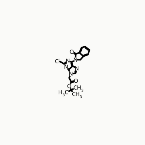 CC(C)(C)OC(=O)Cn1cnc2c(N3Cc4ccccc4C3=O)nc(Cl)nc21